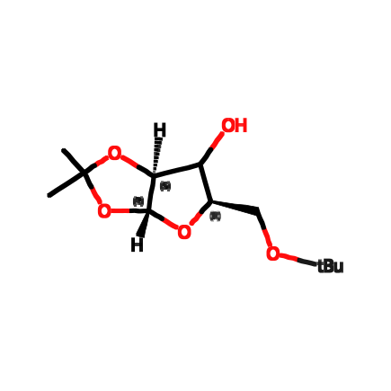 CC(C)(C)OC[C@H]1O[C@@H]2OC(C)(C)O[C@H]2C1O